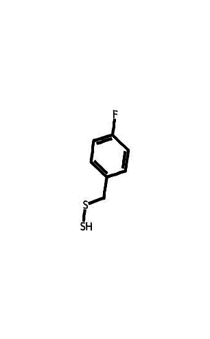 Fc1ccc(CSS)cc1